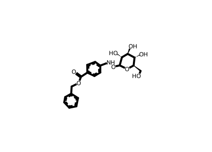 O=C(OCc1ccccc1)c1ccc(NOC2O[C@H](CO)[C@@H](O)[C@H](O)[C@H]2O)cc1